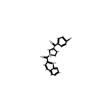 O=C(c1ccc(F)cc1)[C@H]1CCN(C(=O)c2ccc3ccccc3n2)C1